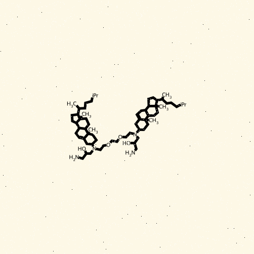 CC(C)CCCC(C)C1CCC2C3CC=C4CC(N(CCOCCOCCN(CC(O)CN)C5CCC6(C)C(=CCC7C6CCC6(C)C(C(C)CCCC(C)C)CCC76)C5)CC(O)CN)CCC4(C)C3CCC12C